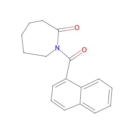 O=C1CCCCCN1C(=O)c1cccc2ccccc12